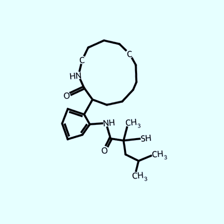 CC(C)CC(C)(S)C(=O)Nc1ccccc1C1CCCCCCCCCCNC1=O